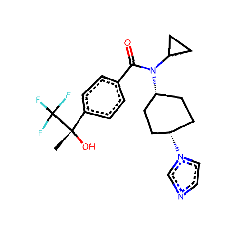 C[C@](O)(c1ccc(C(=O)N(C2CC2)[C@H]2CC[C@@H](n3ccnc3)CC2)cc1)C(F)(F)F